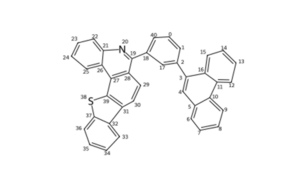 c1cc(-c2cc3ccccc3c3ccccc23)cc(-c2nc3ccccc3c3c2ccc2c4ccccc4sc23)c1